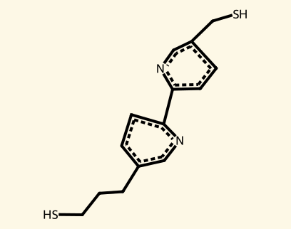 SCCCc1ccc(-c2ccc(CS)cn2)nc1